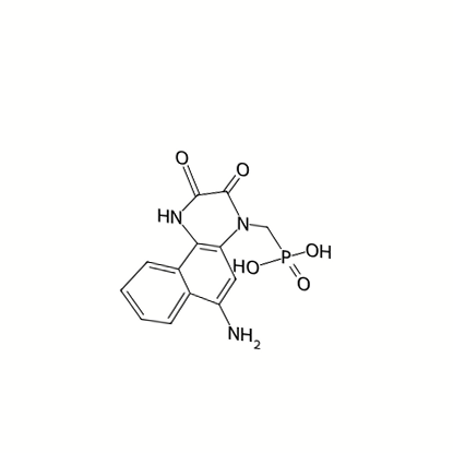 Nc1cc2c([nH]c(=O)c(=O)n2CP(=O)(O)O)c2ccccc12